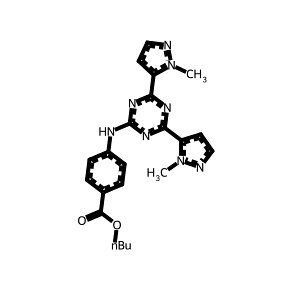 CCCCOC(=O)c1ccc(Nc2nc(-c3ccnn3C)nc(-c3ccnn3C)n2)cc1